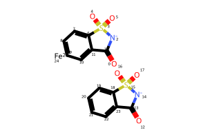 O=C1[N-]S(=O)(=O)c2ccccc21.O=C1[N-]S(=O)(=O)c2ccccc21.[Fe+2]